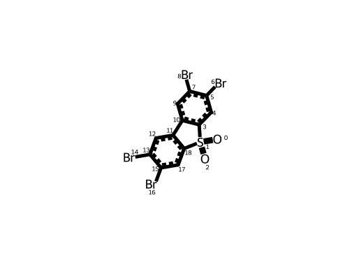 O=S1(=O)c2cc(Br)c(Br)cc2-c2cc(Br)c(Br)cc21